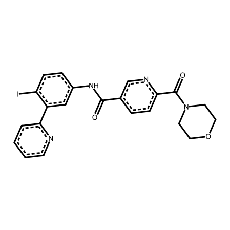 O=C(Nc1ccc(I)c(-c2ccccn2)c1)c1ccc(C(=O)N2CCOCC2)nc1